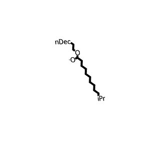 CCCCCCCCCCCCOC([O])CCCCCCCCCC(C)C